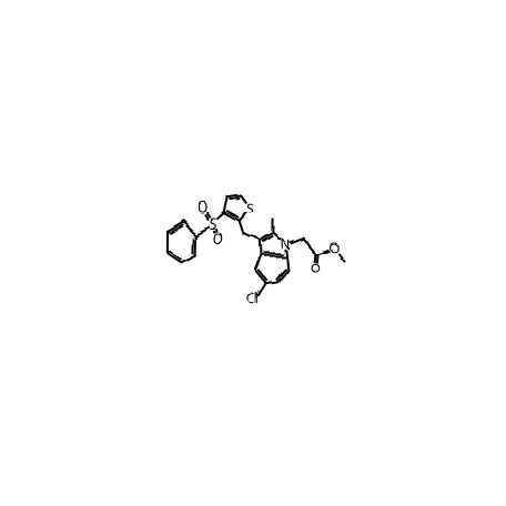 COC(=O)Cn1c(C)c(Cc2sccc2S(=O)(=O)c2ccccc2)c2cc(Cl)ccc21